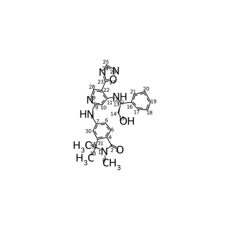 CN1C(=O)c2ccc(Nc3cc(N[C@H](CO)c4ccccc4)c(-c4ncno4)cn3)cc2C1(C)C